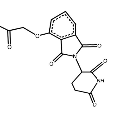 CC(=O)COc1cccc2c1C(=O)N(C1CCC(=O)NC1=O)C2=O